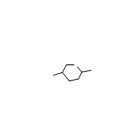 CC1CCC(N)CN1.Cl